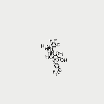 NN/C(=C\NC1C(O)[C@@H](Sc2ccc(OC(F)(F)F)cc2)OC(CO)[C@@H]1O)c1cc(F)c(F)c(F)c1